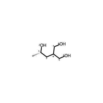 C[C@H](O)CC(CO)CO